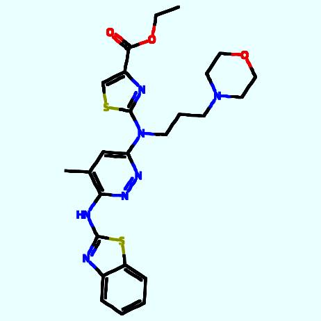 CCOC(=O)c1csc(N(CCCN2CCOCC2)c2cc(C)c(Nc3nc4ccccc4s3)nn2)n1